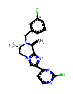 C=C1c2nc(-c3ccnc(Cl)n3)cn2C[C@H](C)N1Cc1cccc(Cl)c1